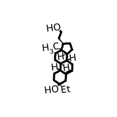 CC[C@]1(O)CC[C@H]2C(=CC[C@@H]3[C@@H]2CC[C@]2(C)[C@@H](CCO)CC[C@@H]32)C1